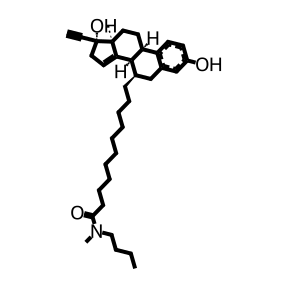 C#C[C@]1(O)CC=C2[C@@H]3[C@H](CCCCCCCCCCC(=O)N(C)CCCC)Cc4cc(O)ccc4[C@@H]3CC[C@@]21C